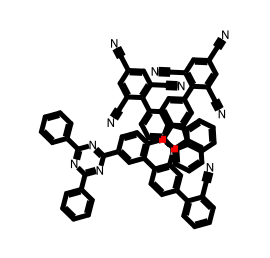 N#Cc1cc(C#N)c(-c2ccc3c(c2)c2ccccc2n3-c2ccc(-c3nc(-c4ccccc4)nc(-c4ccccc4)n3)cc2-c2ccc(-c3ccccc3C#N)cc2-n2c3ccccc3c3cc(-c4c(C#N)cc(C#N)cc4C#N)ccc32)c(C#N)c1